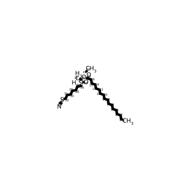 CCCCCCCCCCCCCCCCCC(OCC)(OCC)O[SiH2]CCCCCCCSC#N